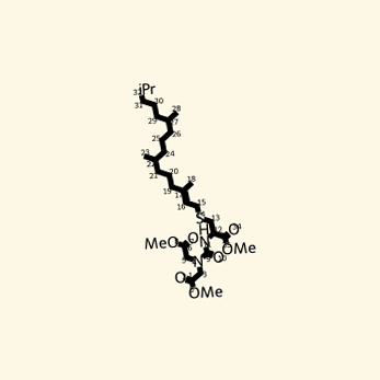 COC(=O)CN(CC(=O)OC)C(=O)NC(CSC/C=C(\C)CCCC(C)CCCC(C)CCCC(C)C)C(=O)OC